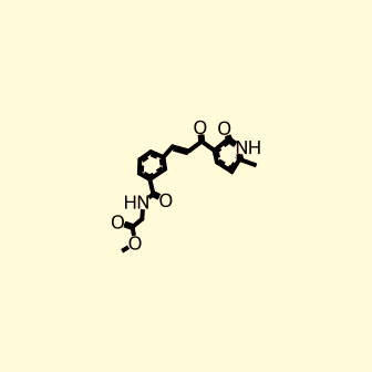 COC(=O)CNC(=O)c1cccc(/C=C/C(=O)c2ccc(C)[nH]c2=O)c1